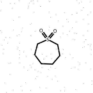 O=S1(=O)C[CH]CCCC1